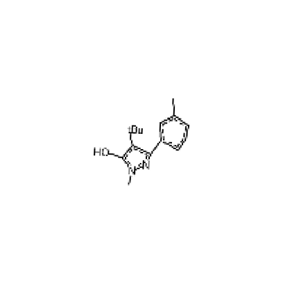 Cc1cccc(-c2nn(C)c(O)c2C(C)(C)C)c1